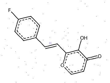 O=c1ccoc(/C=C/c2ccc(F)cc2)c1O